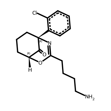 NCCCCC1=N[C@@]2(c3ccccc3Cl)CCC[C@@H](O1)C2=O